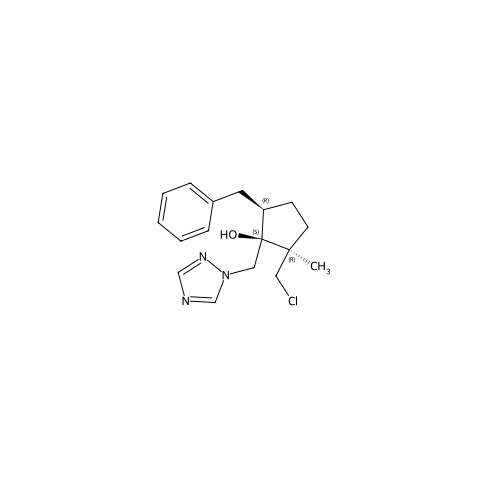 C[C@@]1(CCl)CC[C@H](Cc2ccccc2)[C@@]1(O)Cn1cncn1